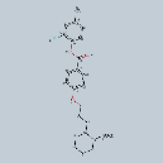 CCCCCCCCC1CCCCC1CCCOc1ccc(C(=O)Oc2ccc(C#N)cc2F)cc1